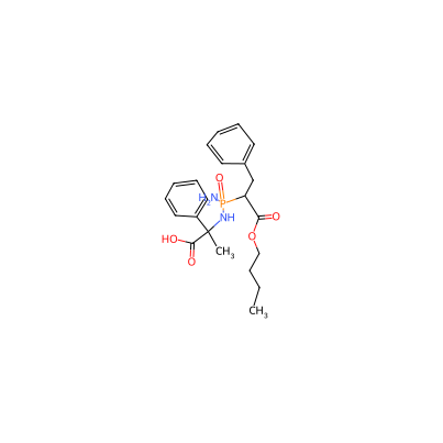 CCCCOC(=O)C(Cc1ccccc1)P(N)(=O)NC(C)(C(=O)O)c1ccccc1